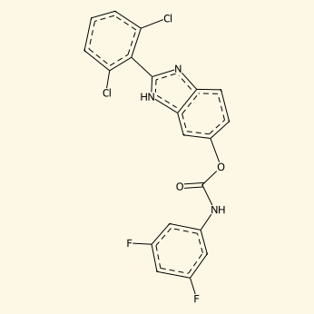 O=C(Nc1cc(F)cc(F)c1)Oc1ccc2nc(-c3c(Cl)cccc3Cl)[nH]c2c1